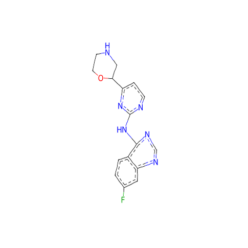 Fc1ccc2c(Nc3nccc(C4CNCCO4)n3)ncnc2c1